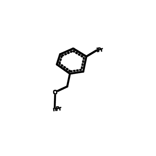 CCCOCc1cccc(C(C)C)c1